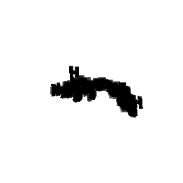 CCc1cc2c(cc1N1CCN(Cc3ccc(C4CCC(=O)NC4=O)c(F)c3)CC1)C(C)(C)c1[nH]c3cc(C#N)ccc3c1C2=O